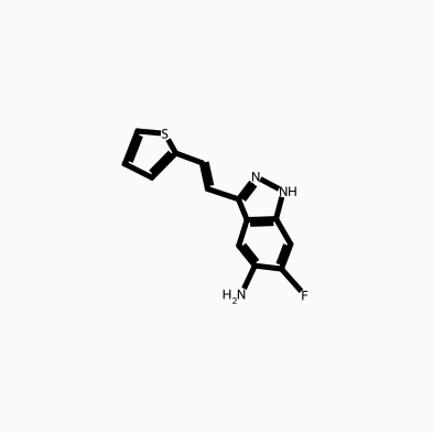 Nc1cc2c(C=Cc3cccs3)n[nH]c2cc1F